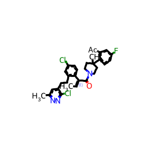 C/C=C(/C(=O)N1CCC(C)(c2ccc(F)cc2C(C)=O)CC1)c1ccc(Cl)cc1CCc1cc(C)nnc1Cl